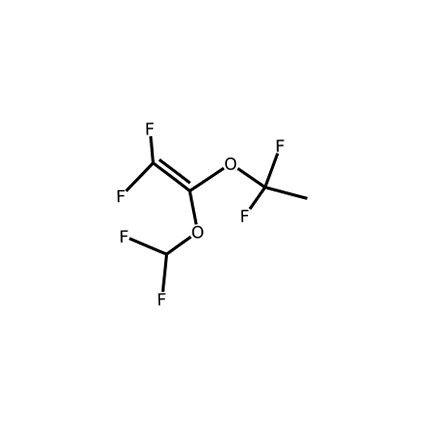 CC(F)(F)OC(OC(F)F)=C(F)F